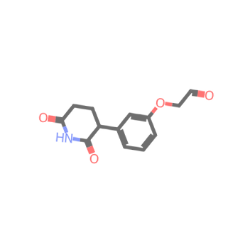 O=CCOc1cccc(C2CCC(=O)NC2=O)c1